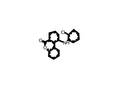 O=c1oc2ccccc2c2c(Nc3ccccc3Cl)cccc12